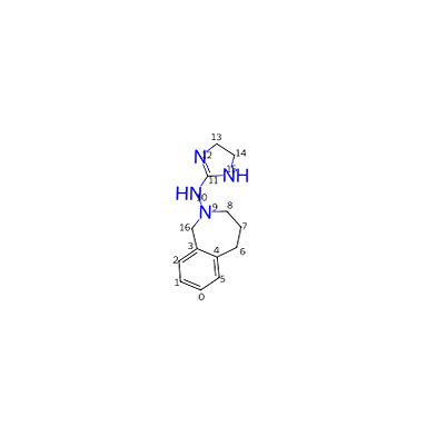 c1ccc2c(c1)CCCN(NC1=NCCN1)C2